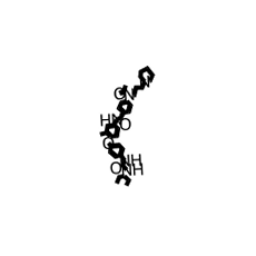 CCC(CC)NC(=O)Nc1ccc(Oc2ccc(NC(=O)c3ccc(N(CCCN4CCCCC4)C(C)=O)cc3)cc2C)cc1